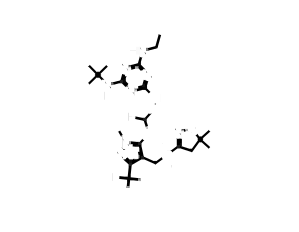 CCNc1nc(Cl)nc(NC(C)(C)C)n1.Cn1nc(C(F)(F)F)c(CS(=O)(=O)C2=NOC(C)(C)C2)c1OC(F)F